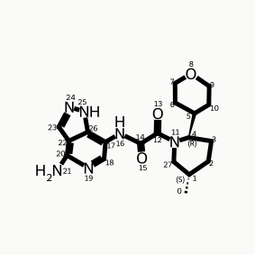 C[C@H]1CC[C@H](C2CCOCC2)N(C(=O)C(=O)Nc2cnc(N)c3cn[nH]c23)C1